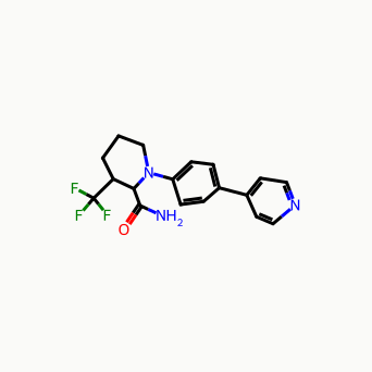 NC(=O)C1C(C(F)(F)F)CCCN1c1ccc(-c2ccncc2)cc1